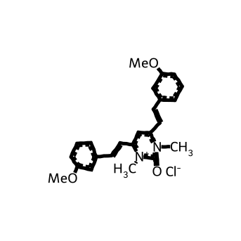 COc1cccc(/C=C/c2cc(/C=C/c3cccc(OC)c3)[n+](C)c(=O)n2C)c1.[Cl-]